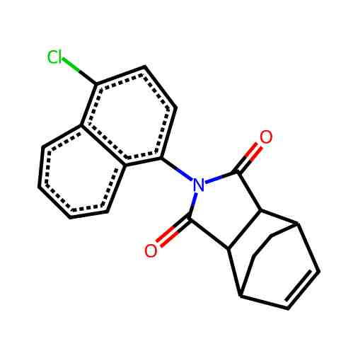 O=C1C2C3C=CC(CC3)C2C(=O)N1c1ccc(Cl)c2ccccc12